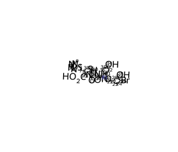 Cn1nnnc1SCC1=C(C(=O)O)N2C(=O)C(NC(=O)/C(=N/OCc3ccc(Br)c(O)c3)c3ccc(O)cc3)[C@H]2SC1